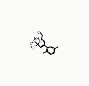 CC(C)(C=C(CCCCl)c1cc(F)ccc1F)[S+](N)[O-]